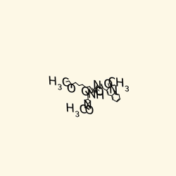 CCC(=O)CCCCC[C@H](NC(=O)C1CN(C(C)=O)C1)c1ncc(-c2cc3ccccc3nc2OC)o1